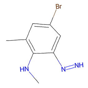 CNc1c(C)cc(Br)cc1N=N